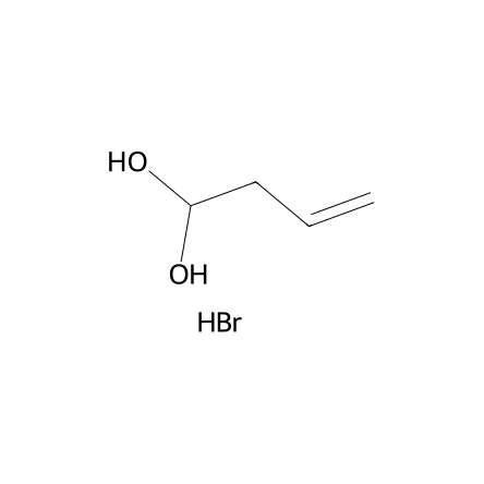 Br.C=CCC(O)O